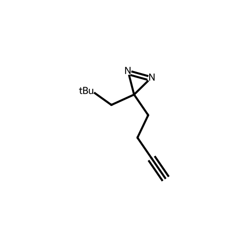 C#CCCC1(CC(C)(C)C)N=N1